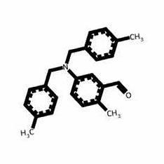 Cc1ccc(CN(Cc2ccc(C)cc2)c2ccc(C)c(C=O)c2)cc1